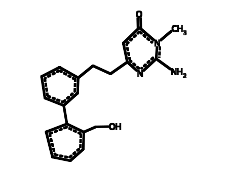 Cn1c(N)nc(CCc2cccc(-c3ccccc3CO)c2)cc1=O